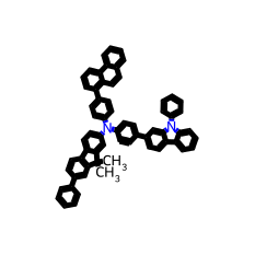 CC1(C)c2cc(-c3ccccc3)ccc2-c2ccc(N(c3c#cc(-c4ccc5c6ccccc6n(-c6ccccc6)c5c4)cc3)c3ccc(-c4cccc5c4ccc4ccccc45)cc3)cc21